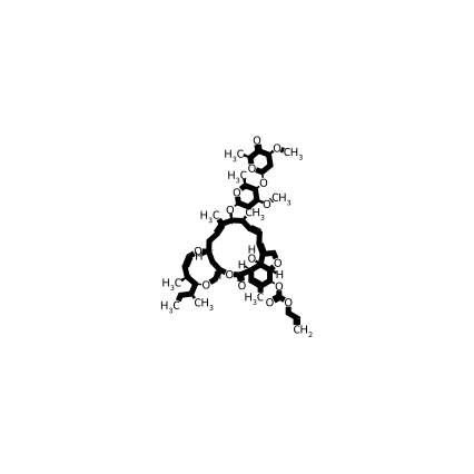 C=CCOC(=O)O[C@@H]1C(C)=C[C@H]2C(=O)O[C@@H]3CO[C@H]([C@@H](C)CC)[C@@H](C)/C=C\O[C@H](C/C=C(\C)[C@@H](O[C@H]4C[C@H](OC)[C@@H](O[C@H]5C[C@H](OC)C(=O)[C@H](C)O5)[C@H](C)O4)[C@@H](C)/C=C/C=C4\CO[C@H]1[C@@]42O)C3